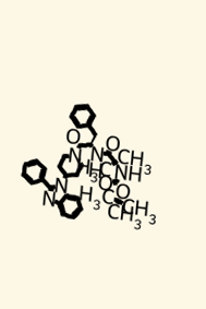 CC(C)(C)OC(=O)NC(C)(C)C(=O)N[C@H](Cc1ccccc1)C(=O)N1CCC(n2c(-c3ccccc3)nc3ccccc32)CC1